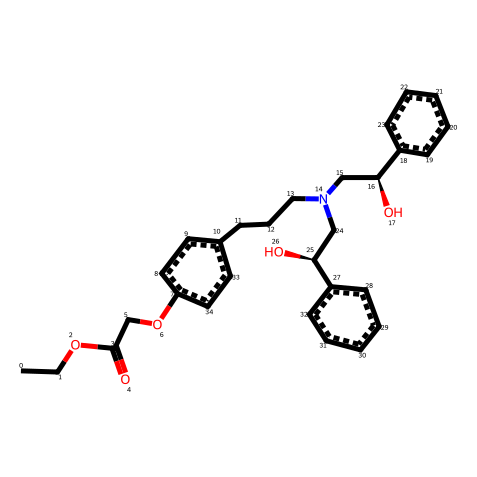 CCOC(=O)COc1ccc(CCCN(C[C@H](O)c2ccccc2)C[C@H](O)c2ccccc2)cc1